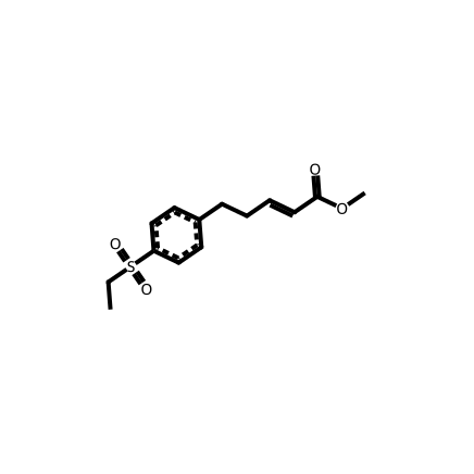 CCS(=O)(=O)c1ccc(CCC=CC(=O)OC)cc1